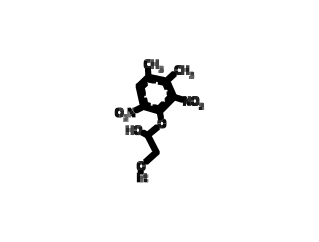 CCOCC(O)Oc1c([N+](=O)[O-])cc(C)c(C)c1[N+](=O)[O-]